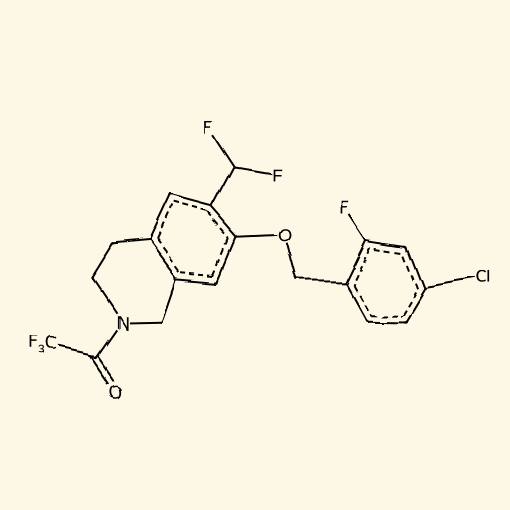 O=C(N1CCc2cc(C(F)F)c(OCc3ccc(Cl)cc3F)cc2C1)C(F)(F)F